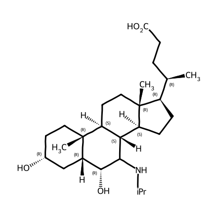 CC(C)NC1[C@@H]2[C@H](CC[C@]3(C)[C@@H]([C@H](C)CCC(=O)O)CC[C@@H]23)[C@@]2(C)CC[C@@H](O)C[C@H]2[C@H]1O